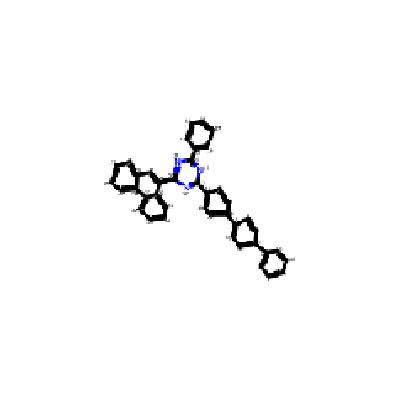 c1ccc(-c2ccc(-c3ccc(-c4nc(-c5ccccc5)nc(-c5cc6ccccc6c6ccccc56)n4)cc3)cc2)cc1